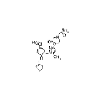 Cc1cc(N2CCN(CC(N)=O)CC2=O)nn1Cc1cc(Cl)ccc1OCc1ccccc1.Cl